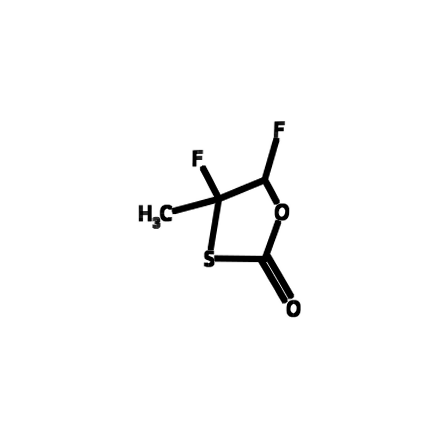 CC1(F)SC(=O)OC1F